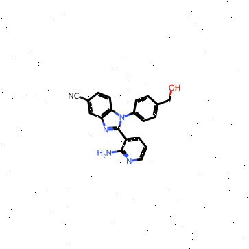 N#Cc1ccc2c(c1)nc(-c1cccnc1N)n2-c1ccc(CO)cc1